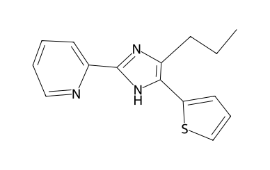 CCCc1nc(-c2ccccn2)[nH]c1-c1cccs1